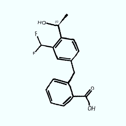 C[C@H](O)c1ccc(Cc2ccccc2C(=O)O)cc1C(F)F